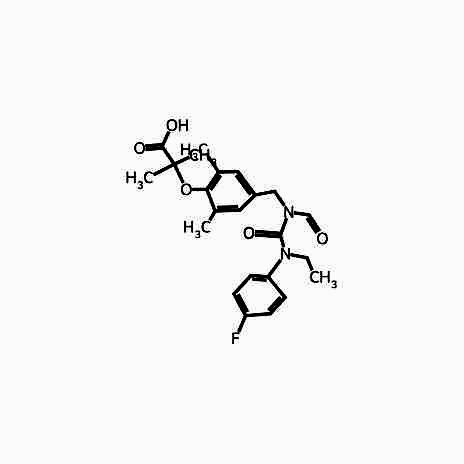 CCN(C(=O)N(C=O)Cc1cc(C)c(OC(C)(C)C(=O)O)c(C)c1)c1ccc(F)cc1